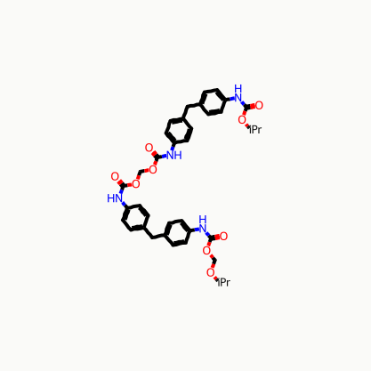 CC(C)OCOC(=O)Nc1ccc(Cc2ccc(NC(=O)OCOC(=O)Nc3ccc(Cc4ccc(NC(=O)OC(C)C)cc4)cc3)cc2)cc1